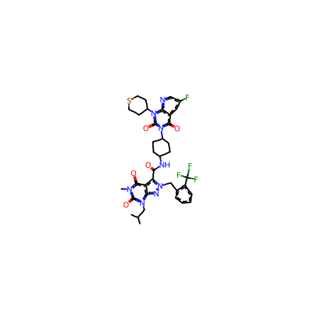 CC(C)Cn1c(=O)n(C)c(=O)c2c(C(=O)NC3CCC(n4c(=O)c5cc(F)cnc5n(C5CCSCC5)c4=O)CC3)n(Cc3ccccc3C(F)(F)F)nc21